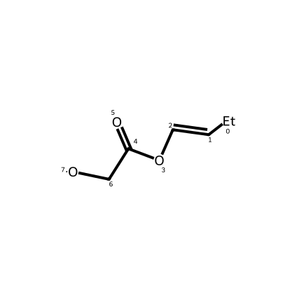 CCC=COC(=O)C[O]